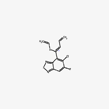 C=C/C=C(\SC=C)c1c(Cl)c(F)cc2nsnc12